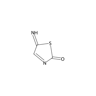 N=C1C=NC(=O)S1